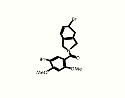 COc1cc(OC)c(C(C)C)cc1C(=O)N1CC2=C(CC(Br)C=C2)C1